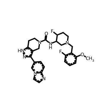 COc1cccc(F)c1CN1CCC(F)C(NC(=O)N2CCc3[nH]nc(-c4ccc5nccn5c4)c3C2)C1